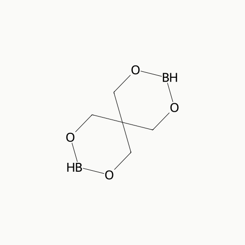 B1OCC2(CO1)COBOC2